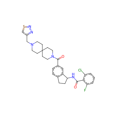 O=C(NC1CCc2ccc(C(=O)N3CCC4(CCN(Cc5csnn5)CC4)CC3)cc21)c1c(F)cccc1Cl